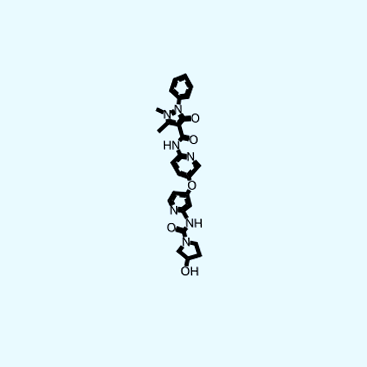 Cc1c(C(=O)Nc2ccc(Oc3ccnc(NC(=O)N4CCC(O)C4)c3)cn2)c(=O)n(-c2ccccc2)n1C